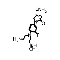 CNCCN(CCN)c1ccc(N2C[C@H](CN)OC2=O)cc1F